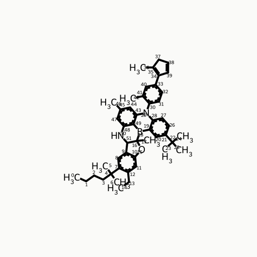 CCCCC(C)(C)c1cc2c(cc1CC)OC1(C)B3c4cc(C(C)(C)C)ccc4N(c4ccc(C5=C(C)CC=C5)cc4C)c4cc(C)cc(c43)NC21